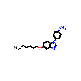 CCCCCCOc1ccc2c(c1)ncn2-c1ccc(N)cc1